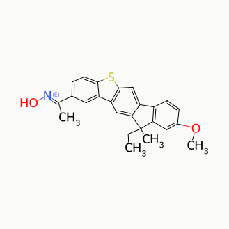 CCC1(C)c2cc(OC)ccc2-c2cc3sc4ccc(/C(C)=N/O)cc4c3cc21